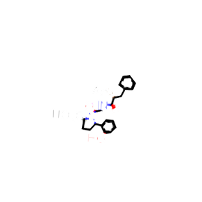 CC(=O)SC(Cc1ccccc1)C(=O)NCC(=O)N1C(c2ccccc2O)CC[C@H]1C(=O)O